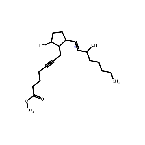 CCCCCC(O)/C=C/C1CCC(O)C1CC#CCCCC(=O)OC